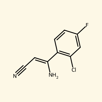 N#CC=C(N)c1ccc(F)cc1Cl